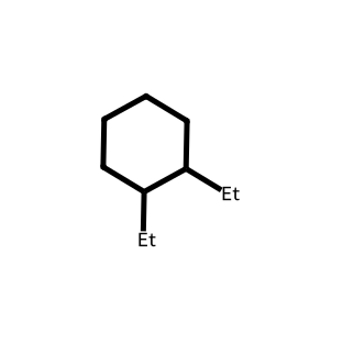 [CH2]CC1CCCCC1CC